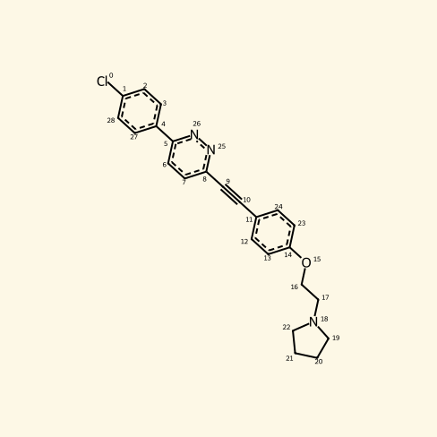 Clc1ccc(-c2ccc(C#Cc3ccc(OCCN4CCCC4)cc3)nn2)cc1